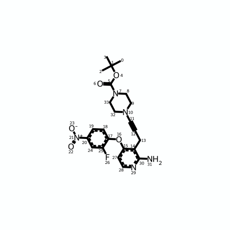 CC(C)(C)OC(=O)N1CCN(C#CCc2c(Oc3ccc([N+](=O)[O-])cc3F)ccnc2N)CC1